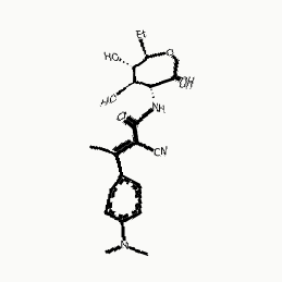 CC[C@H]1OC(O)[C@H](NC(=O)/C(C#N)=C(\C)c2ccc(N(C)C)cc2)[C@@H](O)[C@@H]1O